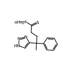 CCCCCCCC(=S)C[CH]C(C)(c1ccccc1)c1c[nH]nn1